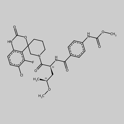 COC(=O)Nc1ccc(C(=O)N[C@@H](C[C@H](C)OC)C(=O)N2CCCC3(C2)OC(=O)Nc2ccc(Cl)c(F)c23)cc1